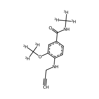 [2H]C([2H])([2H])NC(=O)c1ccc(NCC#C)c(OC([2H])([2H])[2H])c1